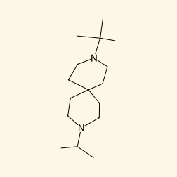 CC(C)N1CCC2(CC1)CCN(C(C)(C)C)CC2